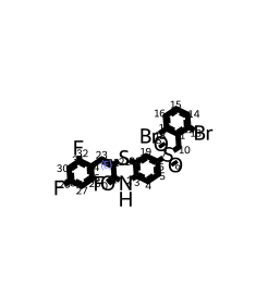 O=C1Nc2ccc(S(=O)(=O)Cc3c(Br)cccc3Br)cc2S/C1=C/c1c(F)cc(F)cc1F